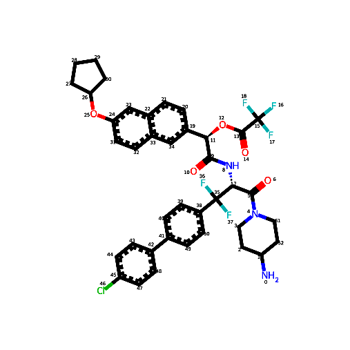 NC1CCN(C(=O)[C@@H](NC(=O)[C@H](OC(=O)C(F)(F)F)c2ccc3cc(OC4CCCC4)ccc3c2)C(F)(F)c2ccc(-c3ccc(Cl)cc3)cc2)CC1